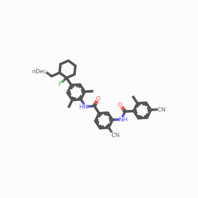 CCCCCCCCCCCC1CCCCC1(F)c1cc(C)c(NC(=O)c2ccc(C#N)c(NC(=O)c3ccc(C#N)cc3C)c2)c(C)c1